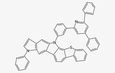 c1ccc(-c2cc(-c3ccccc3)nc(-c3cccc(-n4c5cc6ccn(-c7ccccc7)c6cc5c5ccc6c7ccccc7sc6c54)c3)c2)cc1